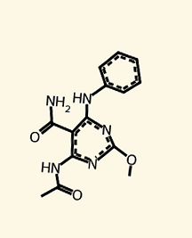 COc1nc(NC(C)=O)c(C(N)=O)c(Nc2ccccc2)n1